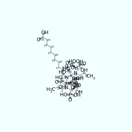 CCCN(C(P(=O)(O)O)P(=O)(O)O)C(N(CCCCCCCCCCC(=O)O)C(N(CCC)C(P(=O)(O)O)P(=O)(O)O)(P(=O)(O)O)P(=O)(O)O)(P(=O)(O)O)P(=O)(O)O